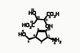 N[C@@H]1C=C[C@H](CO)C1.O=C(O)C(O)C(O)C(=O)O